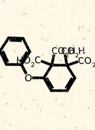 O=C(O)C1(C(=O)O)C=CC=C(Oc2ccccc2)C1(C(=O)O)C(=O)O